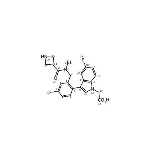 CCN(Cc1cc(F)ccc1-c1cn(CC(=O)O)c2ccc(F)cc12)C(=O)C1CNC1